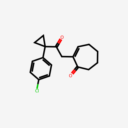 O=C1CCCCC=C1CC(=O)C1(c2ccc(Cl)cc2)CC1